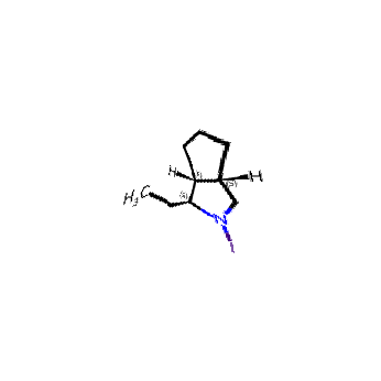 CC[C@H]1[C@@H]2CCC[C@@H]2CN1I